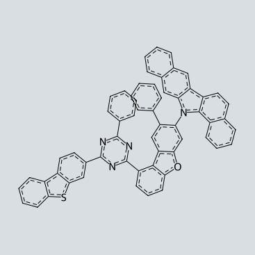 c1ccc(-c2nc(-c3ccc4c(c3)sc3ccccc34)nc(-c3cccc4oc5cc(-n6c7cc8ccccc8cc7c7ccc8ccccc8c76)c(-c6ccccc6)cc5c34)n2)cc1